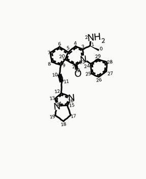 C[C@H](N)c1cc2cccc(C#Cc3cn4c(n3)CCC4)c2c(=O)n1-c1ccccc1